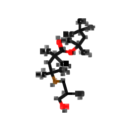 CC(C)C(C)(C)CC(C)(C)OC(=O)C(C)(C)CC(C)(C)SCC(CO)N=O